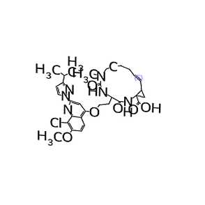 COc1ccc2c(OCCC3NC(=O)N(C)CCCC/C=C/C4CC4(C(=O)O)NC3=O)cc(-n3ccc(C(C)C)n3)nc2c1Cl